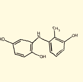 Cc1c(O)cccc1Nc1cc(O)ccc1O